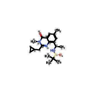 Cc1cc([C@@H](C)N[S@+]([O-])C(C)(C)C)c2nc(CC3CC3)n(C)c(=O)c2c1